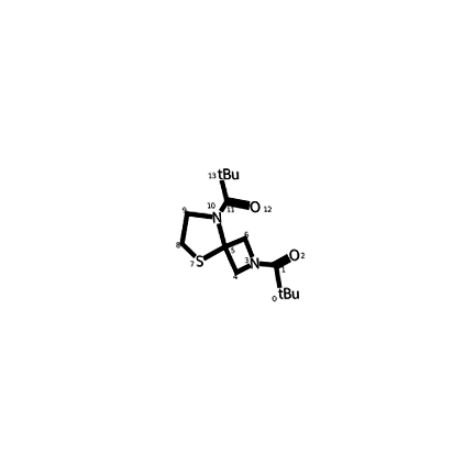 CC(C)(C)C(=O)N1CC2(C1)SCCN2C(=O)C(C)(C)C